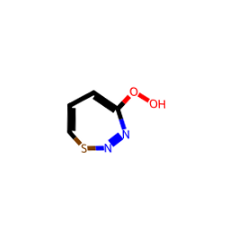 OOC1=CC=CSN=N1